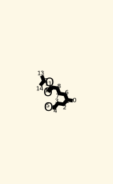 CC(CCC=O)CCCC(=O)OC(C)C